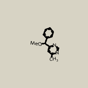 COC(c1ccccc1)c1cc(C)ncn1